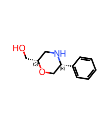 OC[C@@H]1CN[C@H](c2ccccc2)CO1